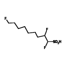 O=S(=O)(O)C(F)C(F)CCCCCCCF